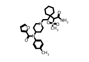 Cc1ccc(N(C(=O)c2ccco2)C2CCN(CCC3(C(C(N)=O)S(C)(=O)=O)CCCCC3)CC2)cc1